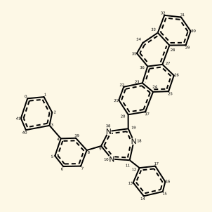 c1ccc(-c2cccc(-c3nc(-c4ccccc4)nc(-c4ccc5c(ccc6c7ccccc7ccc56)c4)n3)c2)cc1